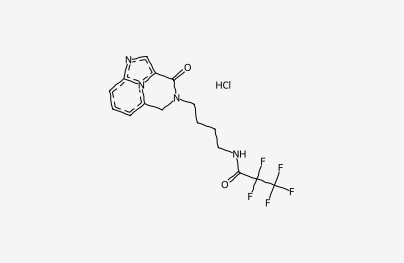 Cl.O=C1c2cnc3cccc(n23)CN1CCCCNC(=O)C(F)(F)C(F)(F)F